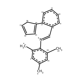 Cc1cc(C)c(N=Cc2ccccc2C2=CC=CC2)c(C)c1